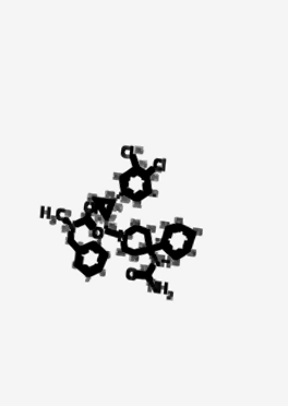 CN(Cc1ccccc1)C(=O)O.NC(=O)NC1(c2ccccc2)CCN(C[C@@H]2C[C@@H]2c2ccc(Cl)c(Cl)c2)CC1